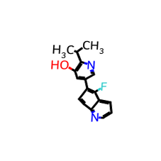 CC(C)c1ncc(-c2ccc3ncccc3c2F)cc1O